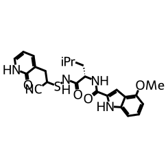 COc1cccc2[nH]c(C(=O)N[C@@H](CC(C)C)C(=O)NSC(C#N)Cc3ccc[nH]c3=O)cc12